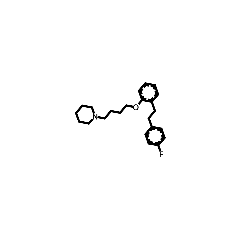 Fc1ccc(CCc2ccccc2OCCCCN2CCCCC2)cc1